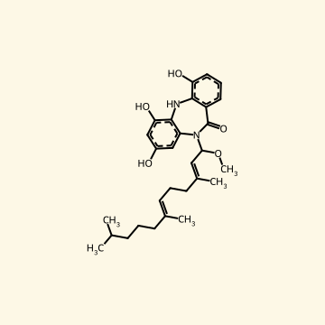 COC(/C=C(\C)CC/C=C(\C)CCCC(C)C)N1C(=O)c2cccc(O)c2Nc2c(O)cc(O)cc21